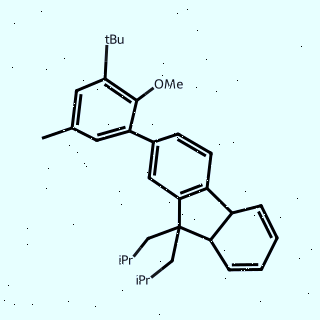 COc1c(-c2ccc3c(c2)C(CC(C)C)(CC(C)C)C2C=CC=CC32)cc(C)cc1C(C)(C)C